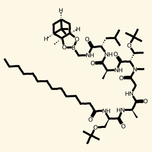 CCCCCCCCCCCCCC(=O)N[C@H](COC(C)(C)C)C(=O)N[C@H](C)C(=O)NCC(=O)N(C)[C@H](C(=O)N[C@@H](C)C(=O)N[C@@H](CC(C)C)C(=O)NCB1O[C@@H]2C[C@@H]3C[C@@H](C3(C)C)[C@]2(C)O1)C(C)OC(C)(C)C